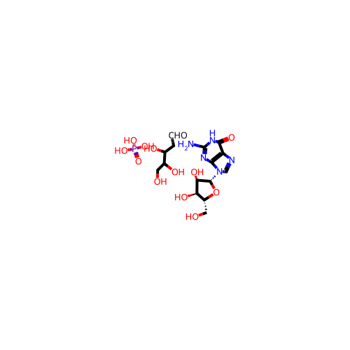 Nc1nc2c(ncn2[C@@H]2O[C@H](CO)[C@@H](O)[C@H]2O)c(=O)[nH]1.O=CCC(O)C(O)CO.O=P(O)(O)O